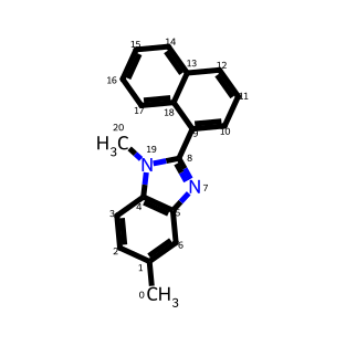 Cc1ccc2c(c1)nc(-c1cccc3ccccc13)n2C